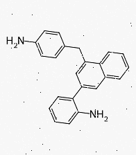 Nc1ccc(Cc2cc(-c3ccccc3N)cc3ccccc23)cc1